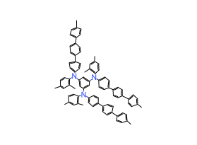 Cc1ccc(-c2ccc(-c3ccc(N(c4cc(N(c5ccc(-c6ccc(-c7ccc(C)cc7)cc6)cc5)c5ccc(C)cc5C)cc(N(c5ccc(-c6ccc(-c7ccc(C)cc7)cc6)cc5)c5ccc(C)cc5C)c4)c4ccc(C)cc4C)cc3)cc2)cc1